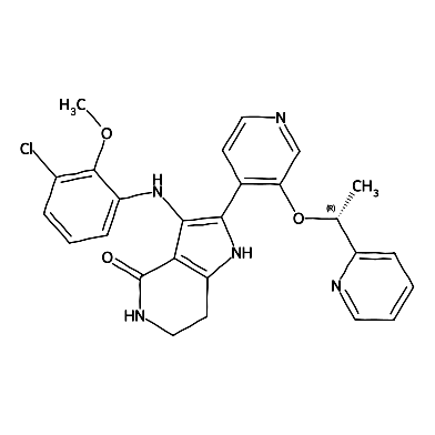 COc1c(Cl)cccc1Nc1c(-c2ccncc2O[C@H](C)c2ccccn2)[nH]c2c1C(=O)NCC2